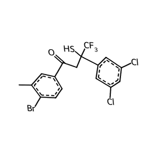 Cc1cc(C(=O)CC(S)(c2cc(Cl)cc(Cl)c2)C(F)(F)F)ccc1Br